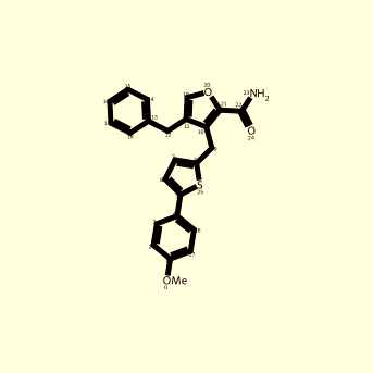 COc1ccc(-c2ccc(Cc3c(Cc4ccccc4)coc3C(N)=O)s2)cc1